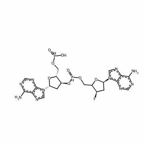 Nc1ncnc2c1ncn2[C@H]1C[C@@H](F)C(CO[PH](=O)O[C@H]2C[C@H](n3cnc4c(N)ncnc43)O[C@@H]2CO[PH](=O)O)O1